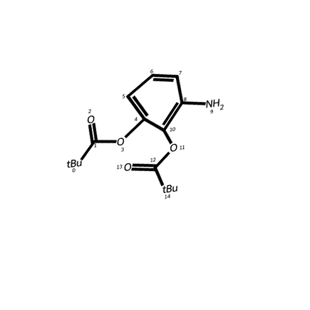 CC(C)(C)C(=O)Oc1cccc(N)c1OC(=O)C(C)(C)C